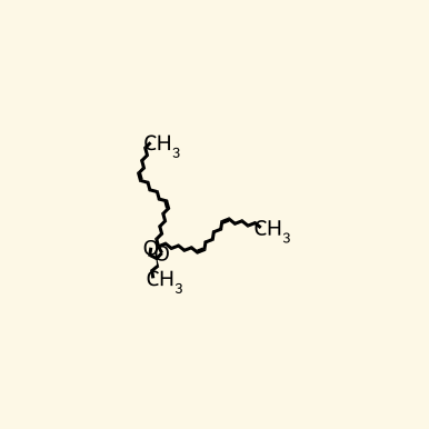 CCCCC/C=C\CCCC/C=C\CCCCCC1(CCCCC/C=C\CCCC/C=C\CCCCC)OC[C@H](CCC)O1